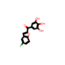 O=C(c1cc(O)c(O)c(O)c1)c1cc2cc(F)ccc2o1